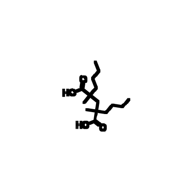 CCCCC(C)(CC(C)(CCCC)C(=O)O)C(=O)O